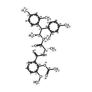 COc1ccnc(C(=S)N[C@@H](C)C(=O)O[C@@H](C)C(c2ccc(C)cc2C)c2ccc(C)cc2C)c1OC(C)=O